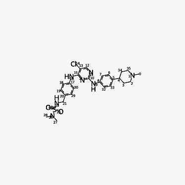 CN1CCC(c2ccc(Nc3ncc(Cl)c(Nc4ccc(CNS(=O)(=O)N(C)C)cc4)n3)cc2)CC1